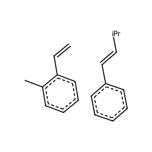 C=Cc1ccccc1C.CC(C)C=Cc1ccccc1